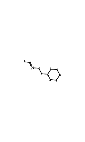 C/C=N/CCC1CCCCC1